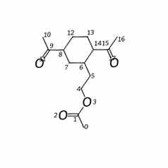 CC(=O)OCCC1CC(C(C)=O)CCC1C(C)=O